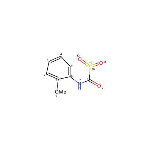 COc1cc[c]cc1NC(=O)[SH](=O)=O